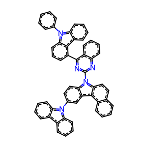 c1ccc(-n2c3ccccc3c3c(-c4nc(-n5c6ccc(-n7c8ccccc8c8ccccc87)cc6c6c7ccccc7ccc65)nc5ccccc45)cccc32)cc1